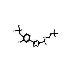 C[C@H](NCOC(C)(C)C)c1nc(-c2ccc(OC(F)(F)F)c(Cl)c2)no1